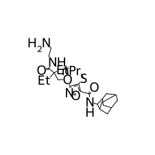 CCCSc1c(OCC(CC)(CC)C(=O)NCCN)noc1C(=O)NC1C2CC3CC(C2)CC1C3